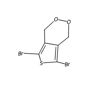 Brc1sc(Br)c2c1COOC2